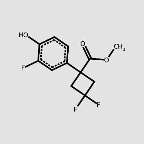 COC(=O)C1(c2ccc(O)c(F)c2)CC(F)(F)C1